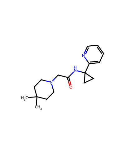 CC1(C)CCN(CC(=O)NC2(c3ccccn3)CC2)CC1